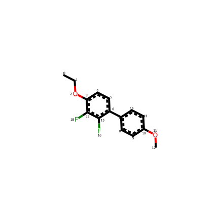 CCOc1ccc(-c2ccc(OC)cc2)c(F)c1F